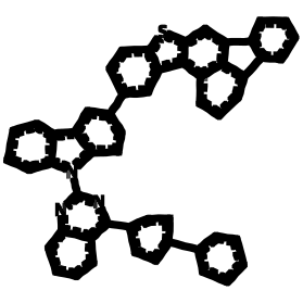 c1ccc(-c2ccc(-c3nc(-n4c5ccccc5c5cc(-c6ccc7sc8cc9c%10c(cccc%10c8c7c6)-c6ccccc6-9)ccc54)nc4ccccc34)cc2)cc1